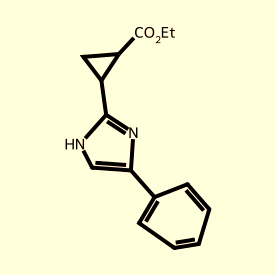 CCOC(=O)C1CC1c1nc(-c2ccccc2)c[nH]1